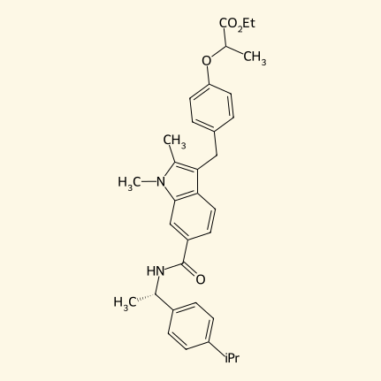 CCOC(=O)C(C)Oc1ccc(Cc2c(C)n(C)c3cc(C(=O)N[C@@H](C)c4ccc(C(C)C)cc4)ccc23)cc1